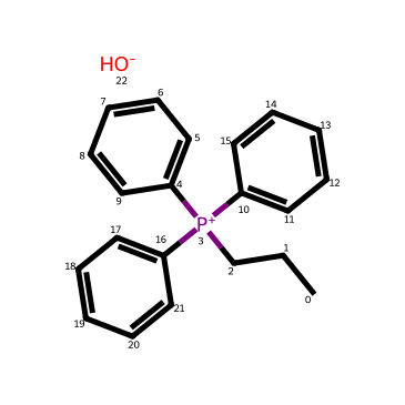 CCC[P+](c1ccccc1)(c1ccccc1)c1ccccc1.[OH-]